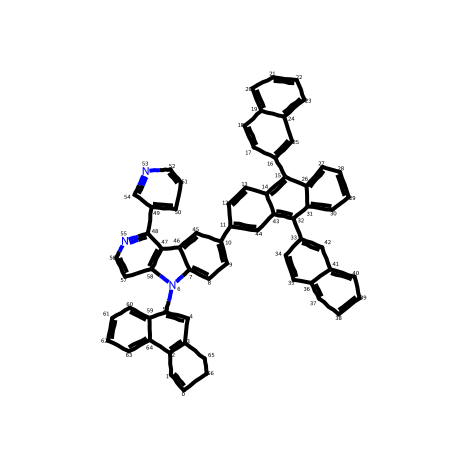 C1=Cc2c(cc(-n3c4ccc(-c5ccc6c(-c7ccc8ccccc8c7)c7ccccc7c(-c7ccc8ccccc8c7)c6c5)cc4c4c(-c5cccnc5)nccc43)c3ccccc23)CC1